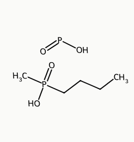 CCCCP(C)(=O)O.O=PO